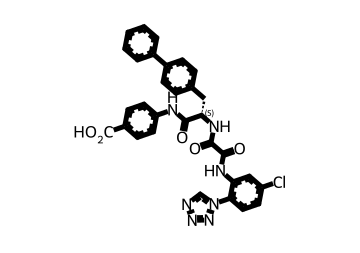 O=C(Nc1cc(Cl)ccc1-n1cnnn1)C(=O)N[C@@H](Cc1ccc(-c2ccccc2)cc1)C(=O)Nc1ccc(C(=O)O)cc1